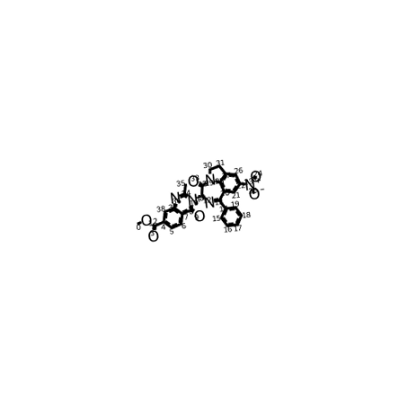 COC(=O)c1ccc2c(=O)n([C@@H]3N=C(c4ccccc4)c4cc([N+](=O)[O-])cc5c4N(CC5)C3=O)c(C)nc2c1